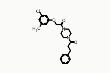 Cc1cc(Cl)cc(OCC(=O)N2CCN(C(=O)CCc3ccccc3)CC2)c1